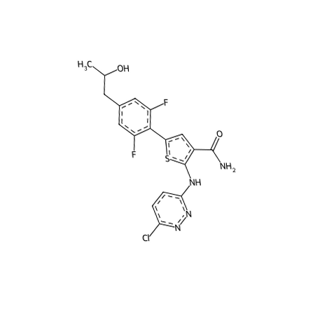 CC(O)Cc1cc(F)c(-c2cc(C(N)=O)c(Nc3ccc(Cl)nn3)s2)c(F)c1